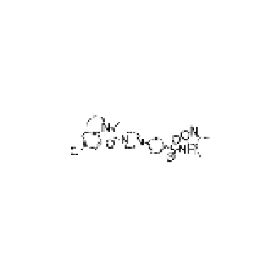 Cc1noc(NS(=O)(=O)c2ccc(N3CCN(C(=O)[C@H](C)N4CCCc5cc(Cl)ccc54)CC3)cc2)c1C